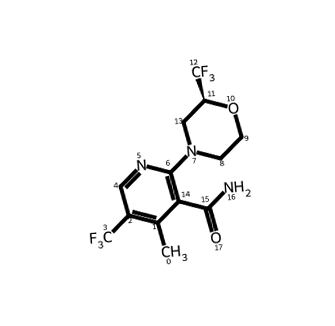 Cc1c(C(F)(F)F)cnc(N2CCO[C@H](C(F)(F)F)C2)c1C(N)=O